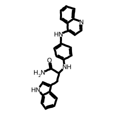 NC(=O)C(Cc1c[nH]c2ccccc12)Nc1ccc(Nc2ccnc3ccccc23)cc1